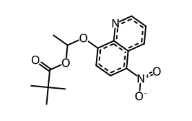 CC(OC(=O)C(C)(C)C)Oc1ccc([N+](=O)[O-])c2cccnc12